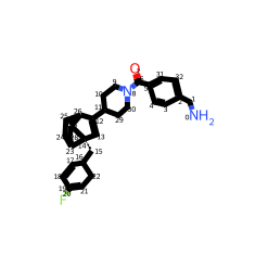 NCc1ccc(C(=O)N2CCC(C3=C[C@@]4(CC5C=CC(F)=CC5)C5=CC=C3C4C5)CC2)cc1